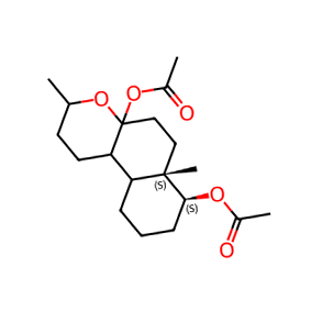 CC(=O)O[C@H]1CCCC2C3CCC(C)OC3(OC(C)=O)CC[C@@]21C